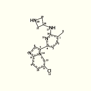 Cc1ccc(-c2cnc3ccc(Cl)cn23)nc1NC1CNC1